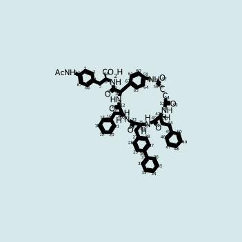 CC(=O)Nc1ccc(C[C@H](NC(=O)C2NC(=O)[C@@H](Cc3ccccc3)NC(=O)[C@H](Cc3ccc(-c4ccccc4)cc3)NC(=O)[C@@H](CCc3ccccc3)NC(=O)CCC(=O)Nc3ccc2cc3)C(=O)O)cc1